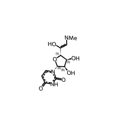 CNC=C(O)[C@H]1O[C@@H](n2ccc(=O)[nH]c2=O)[C@H](O)[C@@H]1O